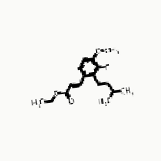 CCOC(=O)/C=C/c1ccc(OC)c(F)c1CCC(C)C